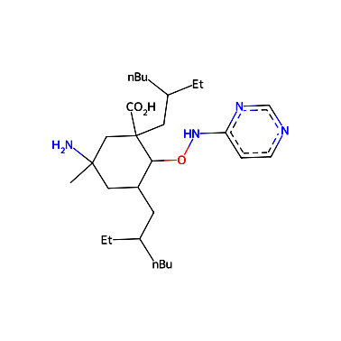 CCCCC(CC)CC1CC(C)(N)CC(CC(CC)CCCC)(C(=O)O)C1ONc1ccncn1